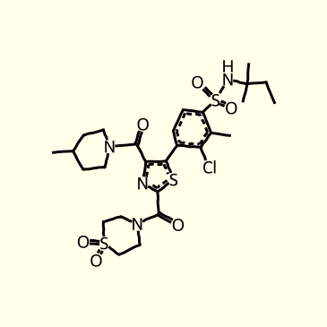 CCC(C)(C)NS(=O)(=O)c1ccc(-c2sc(C(=O)N3CCS(=O)(=O)CC3)nc2C(=O)N2CCC(C)CC2)c(Cl)c1C